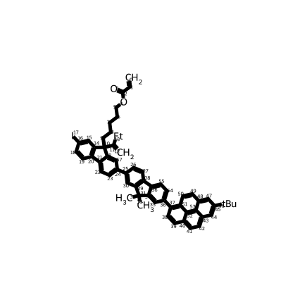 C=CC(=O)OCCCCCC1(C(=C)CC)c2cc(I)ccc2-c2ccc(-c3ccc4c(c3)C(C)(C)c3cc(-c5ccc6ccc7cc(C(C)(C)C)cc8ccc5c6c78)ccc3-4)cc21